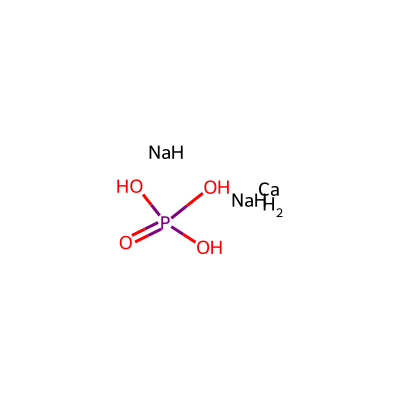 O=P(O)(O)O.[CaH2].[NaH].[NaH]